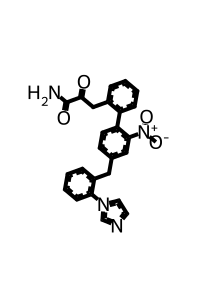 NC(=O)C(=O)Cc1ccccc1-c1ccc(Cc2ccccc2-n2ccnc2)cc1[N+](=O)[O-]